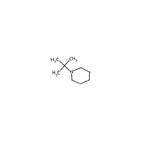 CC(C)(C)N1C[CH]CCC1